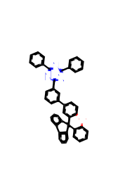 c1ccc(-c2nc(-c3ccccc3)nc(-c3cccc(-c4ccc5c(c4)C4(c6ccccc6O5)c5ccccc5-c5ccccc54)c3)n2)cc1